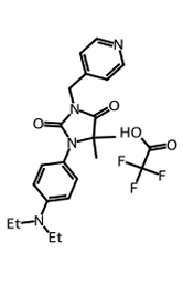 CCN(CC)c1ccc(N2C(=O)N(Cc3ccncc3)C(=O)C2(C)C)cc1.O=C(O)C(F)(F)F